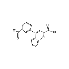 O=C(O)c1cc(-c2cccc([N+](=O)[O-])c2)c2ccccc2n1